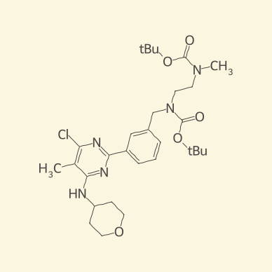 Cc1c(Cl)nc(-c2cccc(CN(CCN(C)C(=O)OC(C)(C)C)C(=O)OC(C)(C)C)c2)nc1NC1CCOCC1